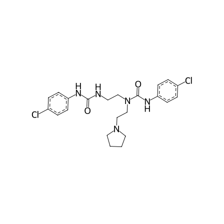 O=C(NCCN(CCN1CCCC1)C(=O)Nc1ccc(Cl)cc1)Nc1ccc(Cl)cc1